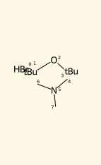 Br.CC(C)(C)OC(C)(C)C.CN(C)C